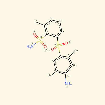 Cc1cc(S(=O)(=O)c2cccc(C)c2S(N)(=O)=O)c(C)cc1N